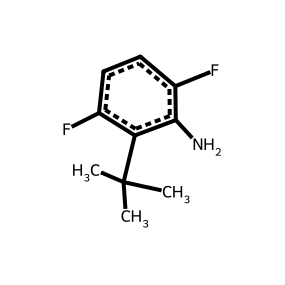 CC(C)(C)c1c(F)ccc(F)c1N